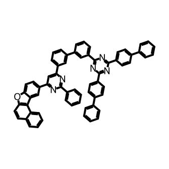 c1ccc(-c2ccc(-c3nc(-c4ccc(-c5ccccc5)cc4)nc(-c4cccc(-c5cccc(-c6cc(-c7ccc8oc9ccc%10ccccc%10c9c8c7)nc(-c7ccccc7)n6)c5)c4)n3)cc2)cc1